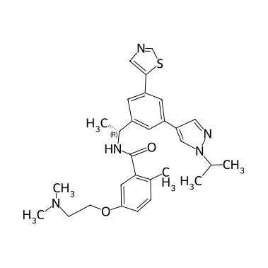 Cc1ccc(OCCN(C)C)cc1C(=O)N[C@H](C)c1cc(-c2cnn(C(C)C)c2)cc(-c2cncs2)c1